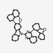 c1cc2c3c(cccc3c1)-c1cc3c4ccccc4n(-c4nc(-c5cccc6oc7ccccc7c56)c5ccccc5n4)c3cc1O2